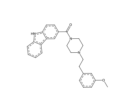 COc1cccc(CCN2CCN(C(=O)c3ccc4[nH]c5ccccc5c4c3)CC2)c1